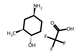 C[C@H]1C[C@@H](N)CC[C@@H]1O.O=C(O)C(F)(F)F